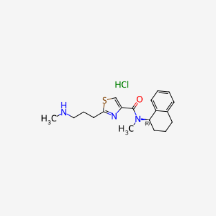 CNCCCc1nc(C(=O)N(C)[C@@H]2CCCc3ccccc32)cs1.Cl